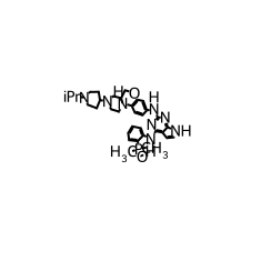 CC(C)N1CCC(N2CCN3c4ccc(Nc5nc(Nc6ccccc6P(C)(C)=O)c6cc[nH]c6n5)cc4OC[C@H]3C2)CC1